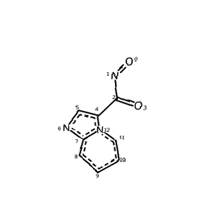 O=NC(=O)c1cnc2ccccn12